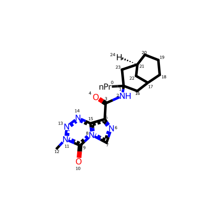 CCCC1(NC(=O)c2ncn3c(=O)n(C)nnc23)CC2CCC[C@@H](C2)C1